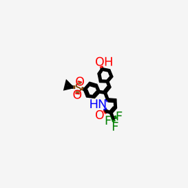 O=c1[nH]c(/C(=C/C2CCC(O)CC2)c2ccc(S(=O)(=O)C3CC3)cc2)ccc1C(F)(F)F